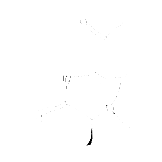 CC(=O)[C@@H]1CN(C)[C@@H](C)C(=O)N1